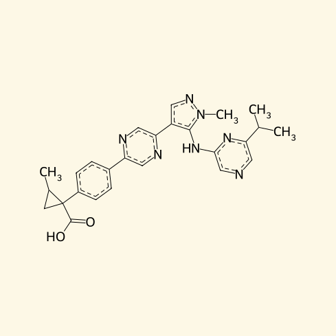 CC(C)c1cncc(Nc2c(-c3cnc(-c4ccc(C5(C(=O)O)CC5C)cc4)cn3)cnn2C)n1